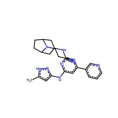 Cc1cc(Nc2cc(-c3cccnc3)nc(NC3CC4CCC(C3)N4CCC#N)n2)n[nH]1